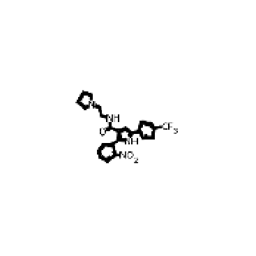 O=C(NCCN1CCCC1)c1cc(-c2ccc(C(F)(F)F)cc2)[nH]c1-c1ccccc1[N+](=O)[O-]